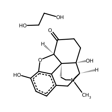 CN1CC[C@]23c4c5ccc(O)c4O[C@H]2C(=O)CC[C@@]3(O)[C@H]1C5.OCCO